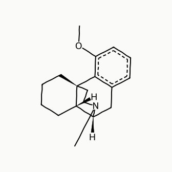 COc1cccc2c1[C@@]13CCCC[C@H]1[C@@H](C2)N(C)CC3